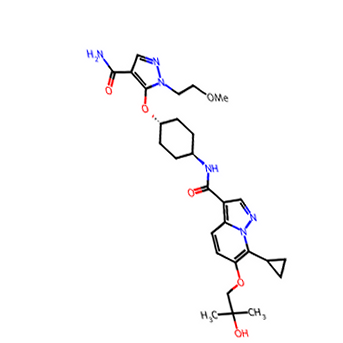 COCCn1ncc(C(N)=O)c1O[C@H]1CC[C@H](NC(=O)c2cnn3c(C4CC4)c(OCC(C)(C)O)ccc23)CC1